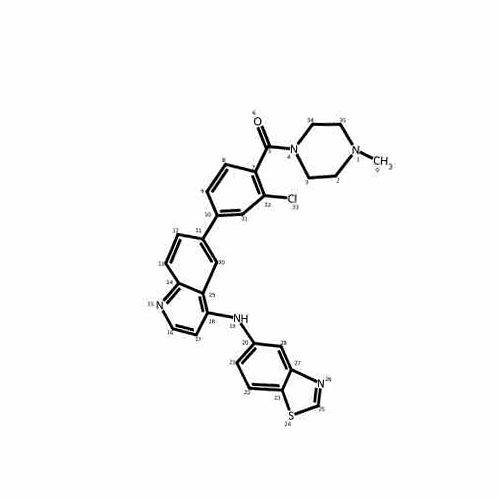 CN1CCN(C(=O)c2ccc(-c3ccc4nccc(Nc5ccc6scnc6c5)c4c3)cc2Cl)CC1